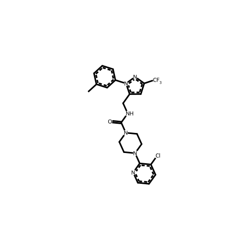 Cc1cccc(-n2nc(C(F)(F)F)cc2CNC(=O)N2CCN(c3ncccc3Cl)CC2)c1